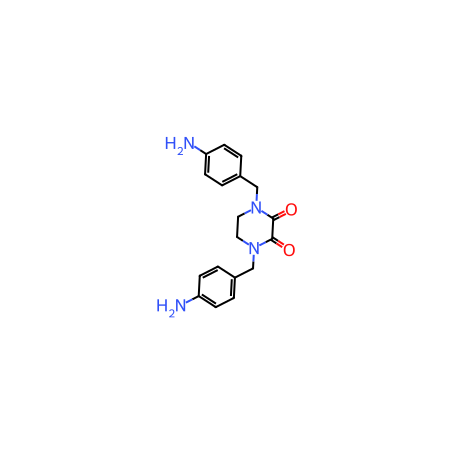 Nc1ccc(CN2CCN(Cc3ccc(N)cc3)C(=O)C2=O)cc1